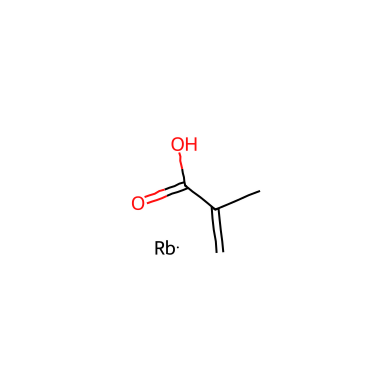 C=C(C)C(=O)O.[Rb]